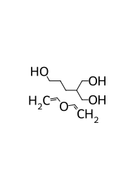 C=COC=C.OCCCC(CO)CO